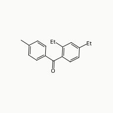 CCc1ccc(C(=O)c2ccc(C)cc2)c(CC)c1